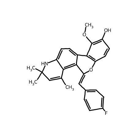 COc1c(O)ccc2c1-c1ccc3c(c1C(=Cc1ccc(F)cc1)O2)C(C)=CC(C)(C)N3